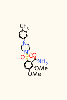 COc1ccc(S(=O)(=O)N2CCN(c3ccc(C(F)(F)F)cc3)CC2)c(C(N)=O)c1OC